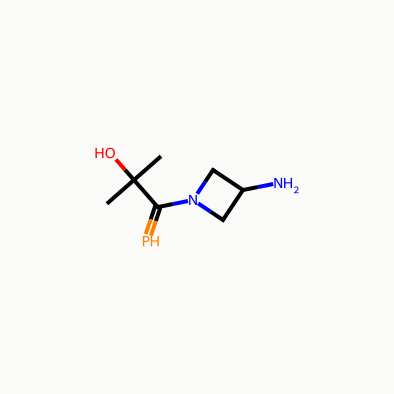 CC(C)(O)C(=P)N1CC(N)C1